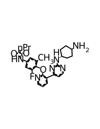 CCCS(=O)(=O)Nc1cc(C)c(Oc2ncccc2-c2ccnc(N[C@H]3CC[C@H](N)CC3)n2)c(F)c1